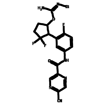 CC/N=C(/N)OC1CCC(F)(F)C1c1cc(NC(=O)c2cnc(C#N)cn2)ccc1F